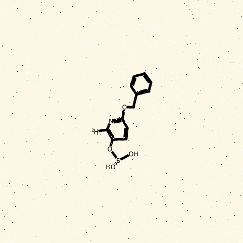 [2H]c1nc(OCc2ccccc2)ccc1OB(O)O